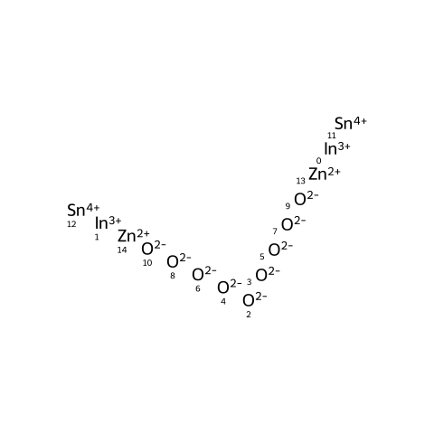 [In+3].[In+3].[O-2].[O-2].[O-2].[O-2].[O-2].[O-2].[O-2].[O-2].[O-2].[Sn+4].[Sn+4].[Zn+2].[Zn+2]